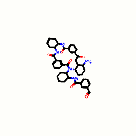 NC1CCCCC1CC(=O)c1cccc(C(=O)NC2CCCCC2NC(=O)c2cccc(C(=O)NC3CCCCC3NC(=O)c3cccc(C=O)c3)c2)c1